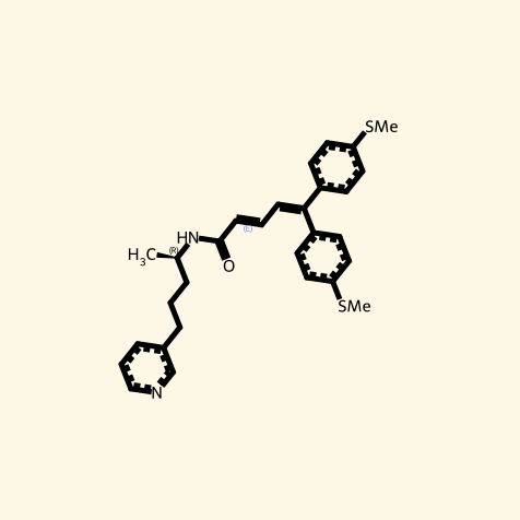 CSc1ccc(C(=C/C=C/C(=O)N[C@H](C)CCCc2cccnc2)c2ccc(SC)cc2)cc1